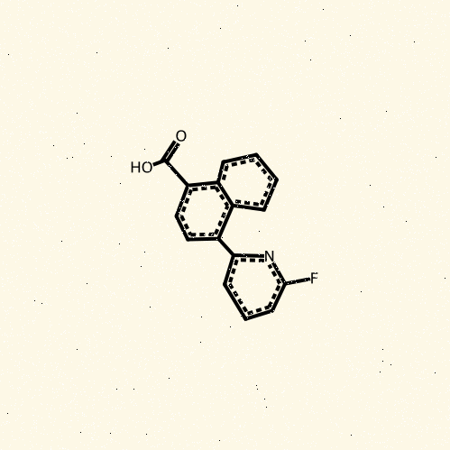 O=C(O)c1ccc(-c2cccc(F)n2)c2ccccc12